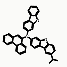 CC(C)c1ccc2oc3cc(N(c4ccc5c(c4)oc4ccccc45)c4cc5ccccc5c5ccccc45)ccc3c2c1